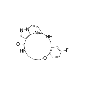 O=C1NCCCOc2ccc(F)cc2CNc2ccn3ncc1c3n2